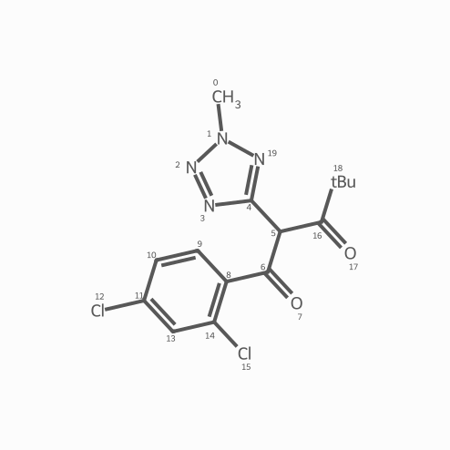 Cn1nnc(C(C(=O)c2ccc(Cl)cc2Cl)C(=O)C(C)(C)C)n1